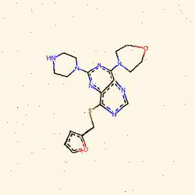 c1coc(CSc2ncnc3c(N4CCOCC4)nc(N4CCNCC4)nc23)c1